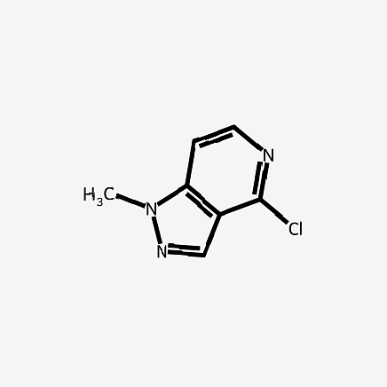 Cn1ncc2c(Cl)nccc21